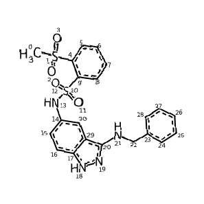 CS(=O)(=O)c1ccccc1S(=O)(=O)Nc1ccc2[nH]nc(NCc3ccccc3)c2c1